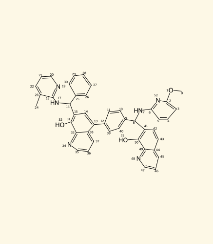 COc1cccc(NC(c2ccc(-c3cc(C(Nc4ncccc4C)c4ccccc4)c(O)c4ncccc34)cc2)c2ccc3cccnc3c2O)n1